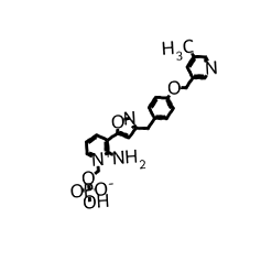 Cc1cncc(COc2ccc(Cc3cc(-c4ccc[n+](COP(=O)([O-])O)c4N)on3)cc2)c1